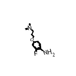 CN(C)CCCOc1ccc(N)c(F)c1